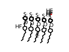 CCCCCCC1CCC(COc2ccc([S])cc2)CC1.CCCCCCC1CCC(COc2ccc([S])cc2)CC1.CCCCCCC1CCC(COc2ccc([S])cc2)CC1.CCCCCCC1CCC(COc2ccc([S])cc2)CC1.CCCCCCC1CCC(COc2ccc([S])cc2)CC1.F.F.F.F.F